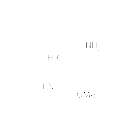 COC(C)(N)CN